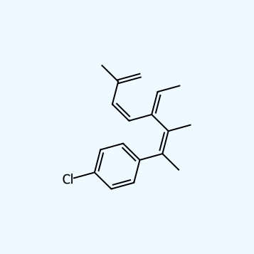 C=C(C)\C=C/C(=C/C)C(/C)=C(/C)c1ccc(Cl)cc1